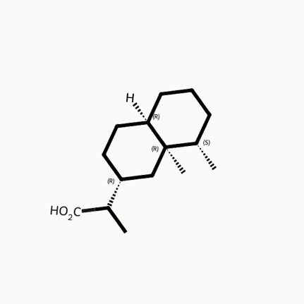 CC(C(=O)O)[C@@H]1CC[C@H]2CCC[C@H](C)[C@@]2(C)C1